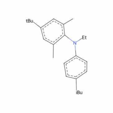 CCC(C)c1ccc(N(CC)c2c(C)cc(C(C)(C)C)cc2C)cc1